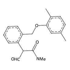 CNC(=O)C(C=O)c1ccccc1COc1cc(C)ccc1C